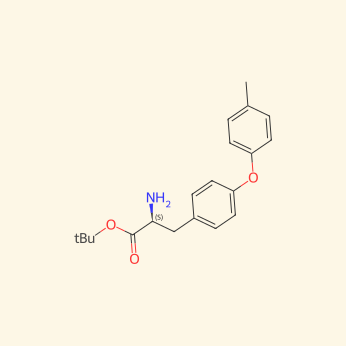 Cc1ccc(Oc2ccc(C[C@H](N)C(=O)OC(C)(C)C)cc2)cc1